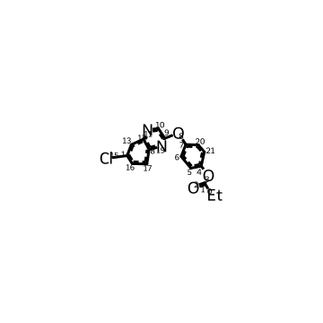 CCC(=O)Oc1ccc(Oc2cnc3cc(Cl)ccc3n2)cc1